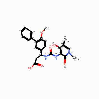 COc1ccc(C(CC(=O)O)NC(=O)Nc2c(O)c(C)cn(C)c2=O)cc1-c1ccccc1